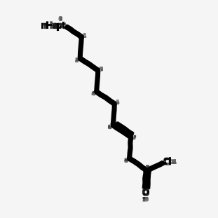 CCCCCCCCCCCCC=CCC(=O)Cl